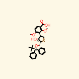 COc1ccc(C(=O)O)c(OC)c1[C@H]1CS[C@H](CO[Si](c2ccccc2)(c2ccccc2)C(C)(C)C)[C@H]1O